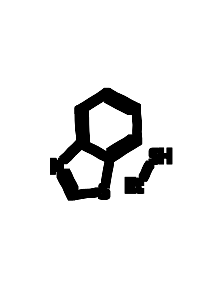 CCS.c1ccc2scnc2c1